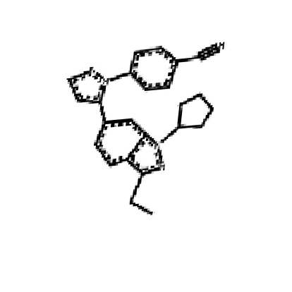 CCc1nn(C2CCCC2)c2cc(-c3ccnn3-c3ccc(C#N)cc3)ccc12